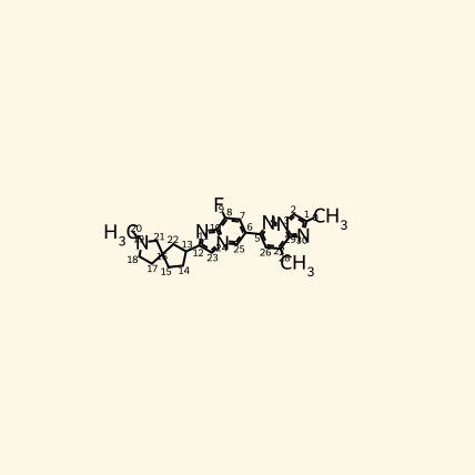 Cc1cn2nc(-c3cc(F)c4nc(C5CCC6(CCN(C)C6)C5)cn4c3)cc(C)c2n1